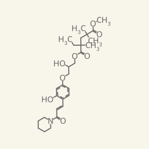 CCC(C)(CC(C)(C)C(=O)OC)C(=O)OCC(O)COc1ccc(/C=C/C(=O)N2CCCCC2)c(O)c1